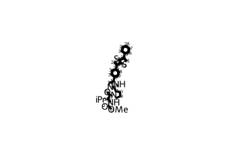 COC(=O)N[C@H](C(=O)N1CCCC1c1ncc(-c2ccc(-c3csc4c(-c5ccccc5)csc34)cc2)[nH]1)C(C)C